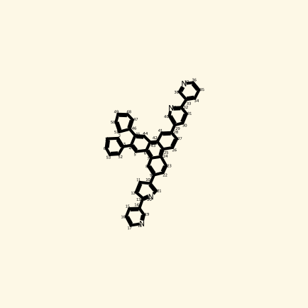 c1ccc(-c2cc3c4cc(-c5ccc(-c6cccnc6)nc5)ccc4c4ccc(-c5ccc(-c6cccnc6)nc5)cc4c3cc2-c2ccccc2)cc1